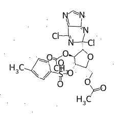 CC(=O)OC[C@H]1O[C@@H](C2(Cl)N=C(Cl)C3=NC=NC3=N2)[C@H](OC(C)=O)[C@H]1OS(=O)(=O)c1ccc(C)cc1